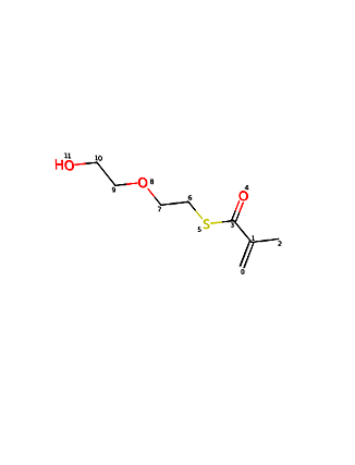 C=C(C)C(=O)SCCOCCO